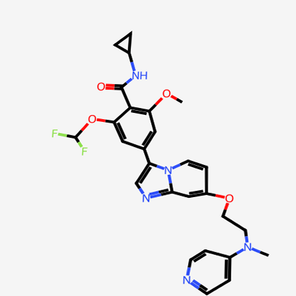 COc1cc(-c2cnc3cc(OCCN(C)c4ccncc4)ccn23)cc(OC(F)F)c1C(=O)NC1CC1